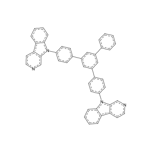 c1ccc(-c2cc(-c3ccc(-n4c5ccccc5c5ccncc54)cc3)cc(-c3ccc(-n4c5ccccc5c5ccncc54)cc3)c2)cc1